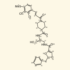 CSc1ccc(C=CC(=O)N2CCC(C(=O)N[C@@H](CNC(=O)C3=COC(Cc4ccccc4)O3)C(=O)O)CC2)c(Cl)c1Cl